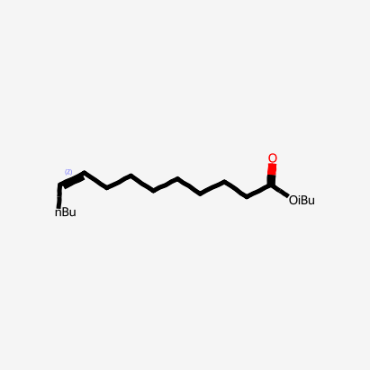 CCCC/C=C\CCCCCCCC(=O)OCC(C)C